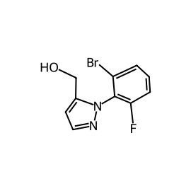 OCc1ccnn1-c1c(F)cccc1Br